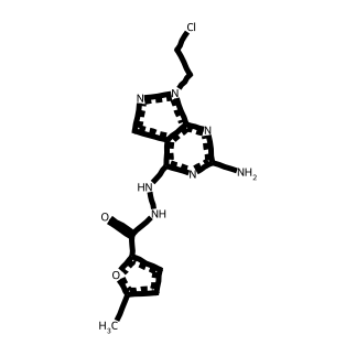 Cc1ccc(C(=O)NNc2nc(N)nc3c2cnn3CCCl)o1